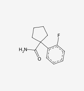 NC(=O)C1(c2ccccc2F)CCCC1